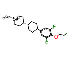 CCC[Si@H]1CC[C@H](C2CCC(c3cc(F)c(OCCF)c(F)c3)CC2)CC1